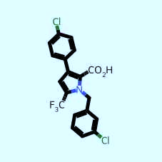 O=C(O)c1c(-c2ccc(Cl)cc2)cc(C(F)(F)F)n1Cc1cccc(Cl)c1